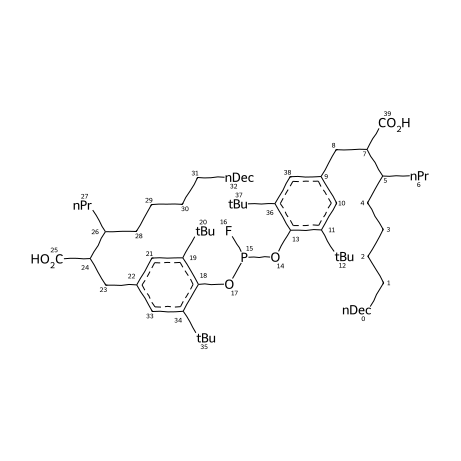 CCCCCCCCCCCCCCC(CCC)C(Cc1cc(C(C)(C)C)c(OP(F)Oc2c(C(C)(C)C)cc(CC(C(=O)O)C(CCC)CCCCCCCCCCCCCC)cc2C(C)(C)C)c(C(C)(C)C)c1)C(=O)O